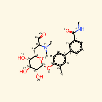 CNC(=O)c1cccc(-c2ccc(O[C@H]3O[C@@H](CC(C=O)N(C)C)[C@@H](O)[C@H](O)[C@H]3O)c(C)c2)c1